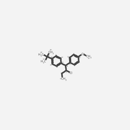 CCC(Cl)C(c1ccc(OC)cc1)c1ccc(C(C)(C)C)cc1